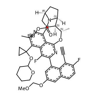 C#Cc1c(F)ccc2cc(OCOC)cc(-c3nc4c5c(nc(C)c(C6(OC7CCCCO7)CC6)c5c3F)N3C[C@H]5CC[C@@H]([C@H]3[C@H](C)O4)N5C(=O)OC(C)(C)C)c12